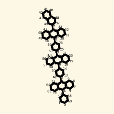 c1ccc(-c2c3ccccc3c(-c3ccc(-c4c5ccccc5c(-c5ccc(-c6c7ccccc7c(-c7ccc8ccccc8c7)c7ccccc67)cc5)c5ncccc45)cc3)c3ccccc23)cc1